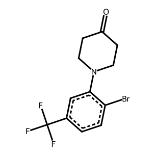 O=C1CCN(c2cc(C(F)(F)F)ccc2Br)CC1